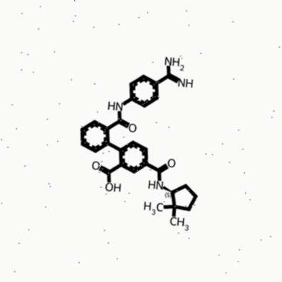 CC1(C)CCC[C@@H]1NC(=O)c1ccc(-c2ccccc2C(=O)Nc2ccc(C(=N)N)cc2)c(C(=O)O)c1